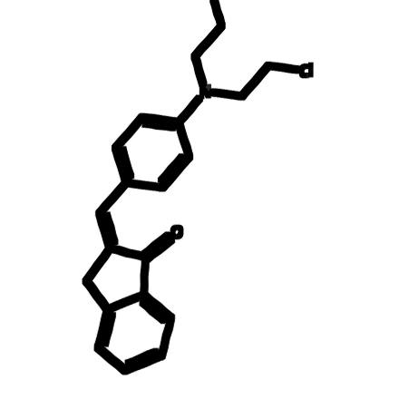 O=C1C(=Cc2ccc(N(CCCl)CCCl)cc2)Cc2ccccc21